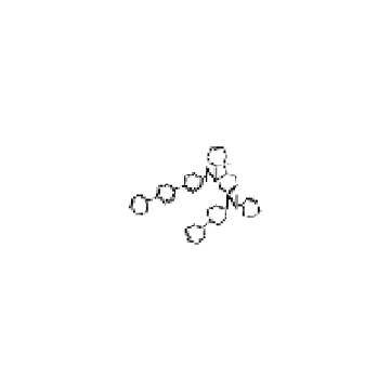 CC12CC=CCC1N(c1ccc(-c3ccc(C4=CC=CCC4)cc3)cc1)C1CC(N(C3=CCCC=C3)C3=CCC(C4=CC=CCC4)CC3)=CCC12